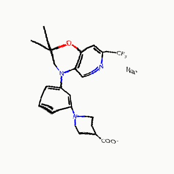 CC1(C)CN(c2cccc(N3CC(C(=O)[O-])C3)c2)c2cnc(C(F)(F)F)cc2O1.[Na+]